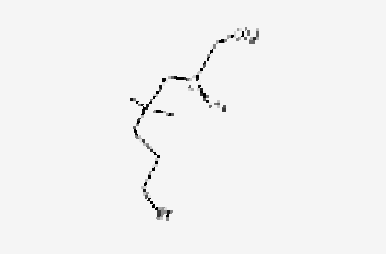 CC(C)CCCC(C)(C)C[C@H](N)CC(=O)O